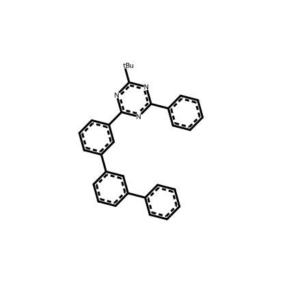 CC(C)(C)c1nc(-c2ccccc2)nc(-c2cccc(-c3cccc(-c4ccccc4)c3)c2)n1